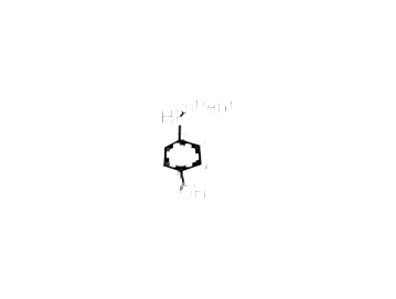 CCCCCPc1ccc(O)cc1